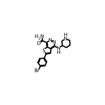 NC(=O)c1nnc(NC2CCCNC2)c2cc(-c3ccc(Br)cc3)sc12